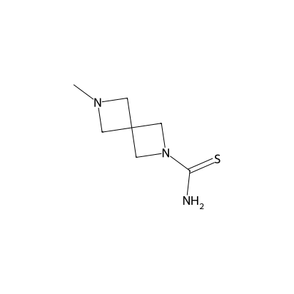 CN1CC2(C1)CN(C(N)=S)C2